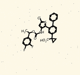 CC(OC(=O)Nc1cc(Cl)sc1-c1cc(C2(C(=O)O)CC2)ccc1-c1ccccc1)c1ccc(F)c(F)c1